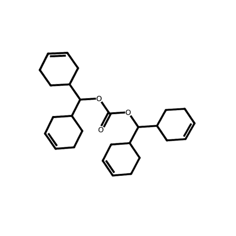 O=C(OC(C1CC=CCC1)C1CC=CCC1)OC(C1CC=CCC1)C1CC=CCC1